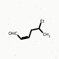 CCC(C)C/C=C\C=O